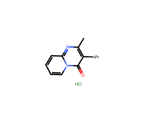 CCCc1c(C)nc2ccccn2c1=O.Cl